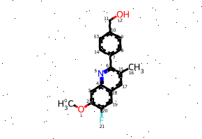 COc1cc2nc(-c3ccc(CO)cc3)c(C)cc2cc1F